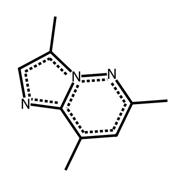 Cc1cc(C)c2ncc(C)n2n1